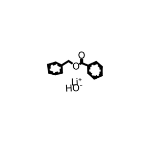 O=C(OCc1ccccc1)c1ccccc1.[Li+].[OH-]